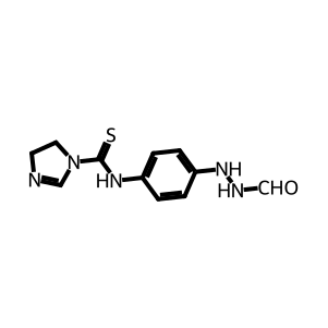 O=CNNc1ccc(NC(=S)N2C=NCC2)cc1